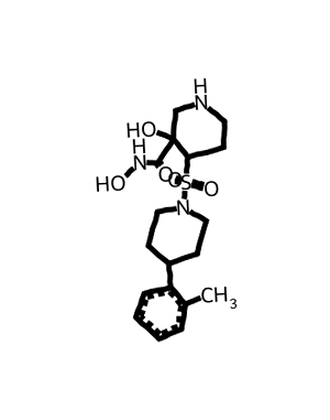 Cc1ccccc1C1CCN(S(=O)(=O)C2CCNCC2(O)C(=O)NO)CC1